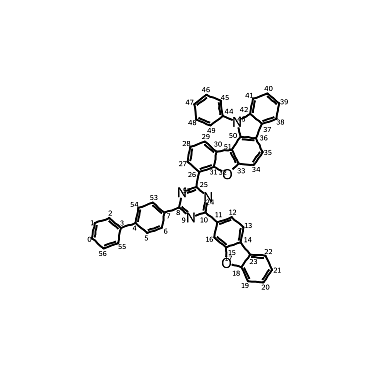 c1ccc(-c2ccc(-c3nc(-c4ccc5c(c4)oc4ccccc45)nc(-c4cccc5c4oc4ccc6c7ccccc7n(-c7ccccc7)c6c45)n3)cc2)cc1